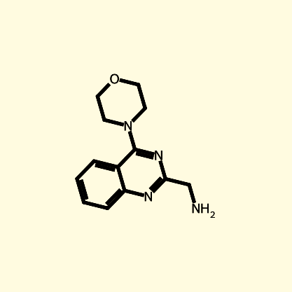 NCc1nc(N2CCOCC2)c2ccccc2n1